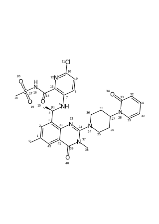 Cc1cc([C@@H](C)Nc2ccc(Cl)nc2C(=O)NS(C)(=O)=O)c2nc(N3CCC(n4ccccc4=O)CC3)n(C)c(=O)c2c1